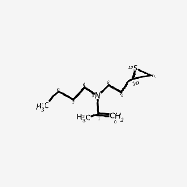 C=C(C)N(CCCC)CCC1CS1